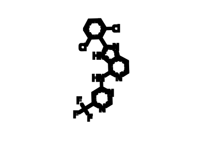 FC(F)(F)c1cc(Nc2nccc3nc(-c4c(Cl)cccc4Cl)[nH]c23)ncn1